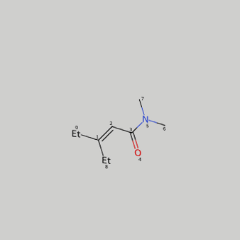 CCC(=CC(=O)N(C)C)CC